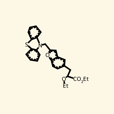 CCOC(=O)C(Cc1ccc2oc(CN3c4ccccc4Sc4ccccc43)cc2c1)OCC